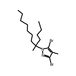 CCCCCCCC(C)(CCCC)n1nc(Br)c(C)c1Br